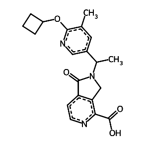 Cc1cc(C(C)N2Cc3c(ccnc3C(=O)O)C2=O)cnc1OC1CCC1